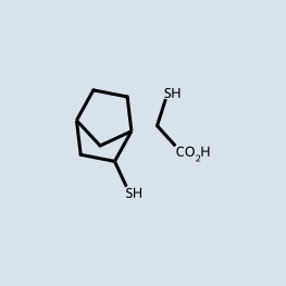 O=C(O)CS.SC1CC2CCC1C2